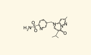 Cc1cc2n(Cc3ccc(S(N)(=O)=O)nc3)cc(C(C)C)c(=O)n2n1